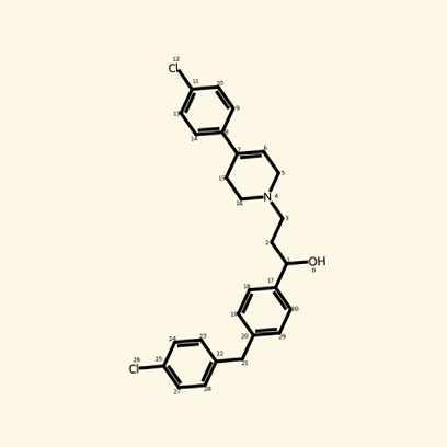 OC(CCN1CC=C(c2ccc(Cl)cc2)CC1)c1ccc(Cc2ccc(Cl)cc2)cc1